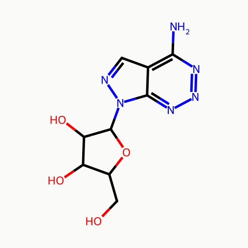 Nc1nnnc2c1cnn2C1OC(CO)C(O)C1O